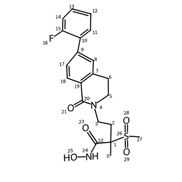 CC(CCN1CCc2cc(-c3ccccc3F)ccc2C1=O)(C(=O)NO)S(C)(=O)=O